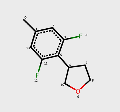 Cc1cc(F)c(C2CCOC2)c(F)c1